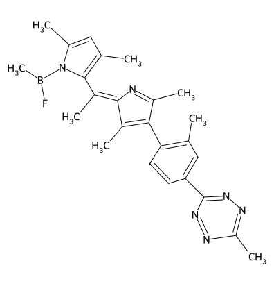 CB(F)n1c(C)cc(C)c1/C(C)=C1\N=C(C)C(c2ccc(-c3nnc(C)nn3)cc2C)=C1C